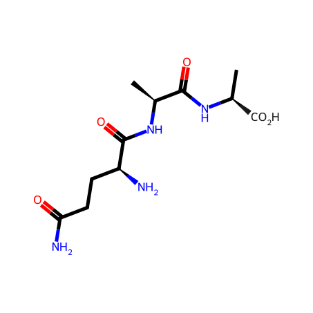 C[C@H](NC(=O)[C@H](C)NC(=O)[C@@H](N)CCC(N)=O)C(=O)O